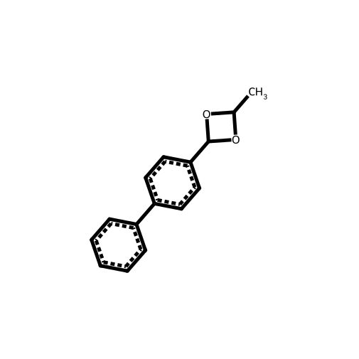 CC1OC(c2ccc(-c3ccccc3)cc2)O1